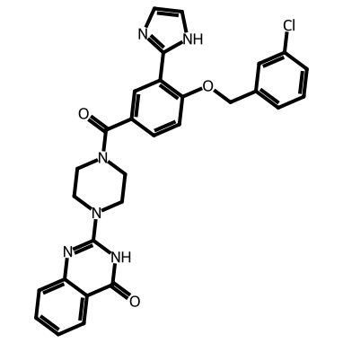 O=C(c1ccc(OCc2cccc(Cl)c2)c(-c2ncc[nH]2)c1)N1CCN(c2nc3ccccc3c(=O)[nH]2)CC1